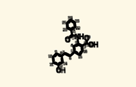 O=C(Nc1cc(C=Cc2cccc(O)c2)ccc1C(=O)O)c1ccccc1